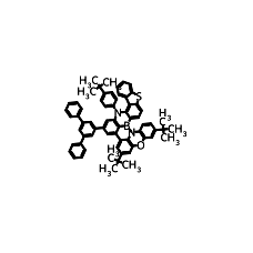 CC(C)(C)c1ccc(N2c3cc(-c4cc(-c5ccccc5)cc(-c5ccccc5)c4)cc4c3B(c3ccc5sc6ccccc6c5c32)N2c3ccc(C(C)(C)C)cc3Oc3cc(C(C)(C)C)cc-4c32)cc1